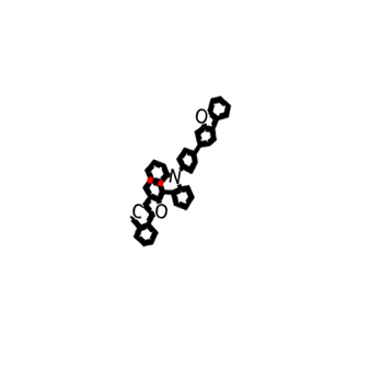 c1ccc(N(c2ccc(-c3ccc4c(c3)oc3ccccc34)cc2)c2ccccc2-c2cccc3c2oc2c4ccccc4ccc32)cc1